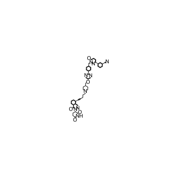 N#Cc1cccc(-c2ccc(=O)n(Cc3ccc(-c4ncc(OCC5CCN(CCCC#Cc6cccc7c(=O)n(C8CCC(=O)NC8=O)ncc67)CC5)cn4)cc3)n2)c1